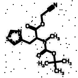 CN(C(=O)OC(C)(C)C)C(Cc1cscn1)C(=O)OCC#N